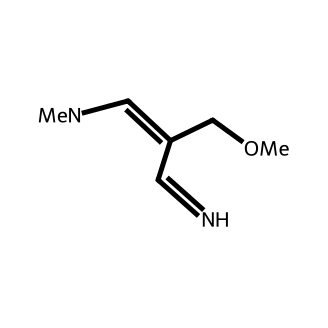 CN/C=C(\C=N)COC